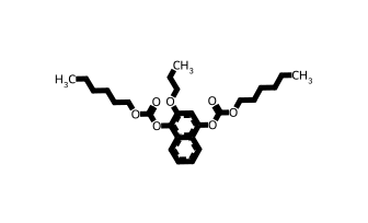 CCCCCCOC(=O)Oc1cc(OCCC)c(OC(=O)OCCCCCC)c2ccccc12